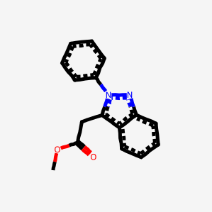 COC(=O)Cc1c2ccccc2nn1-c1ccccc1